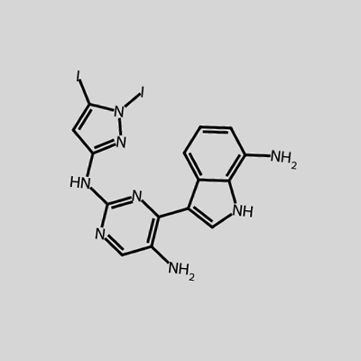 Nc1cnc(Nc2cc(I)n(I)n2)nc1-c1c[nH]c2c(N)cccc12